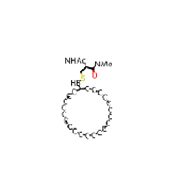 CNC(=O)[C@H](CSBC1CCCCCCCCCCCCCCCCCCCCC1)NC(C)=O